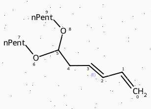 C=C/C=C/CC(OCCCCC)OCCCCC